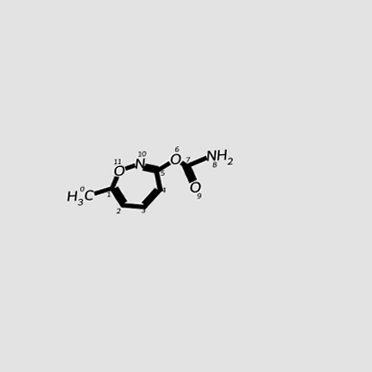 CC1=CC=CC(OC(N)=O)=NO1